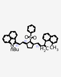 C=C(/C=C/C1=C(S(=O)(=O)c2ccccc2)C(=C/C=c2\c3cccc4cccc(c43)n2CCCC)/CC1)c1cccc2cccc(C)c12